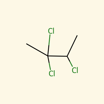 CC(Cl)C(C)(Cl)Cl